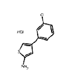 Cl.Nc1cc(-c2cccc(Cl)c2)cs1